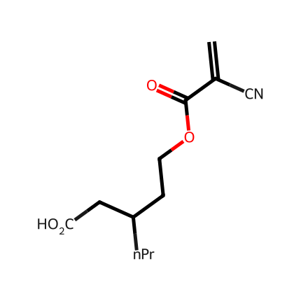 C=C(C#N)C(=O)OCCC(CCC)CC(=O)O